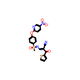 CS(=O)(=N/C=C(\C#N)C(=O)c1cccs1)c1ccc(Oc2ccc([N+](=O)[O-])cn2)cc1